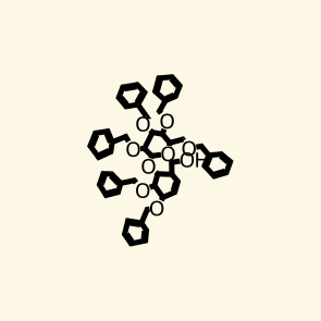 OCC1C=CC(OCc2ccccc2)C(OCc2ccccc2)C1OC1OC(COCc2ccccc2)C(OCc2ccccc2)C(OCc2ccccc2)C1OCc1ccccc1